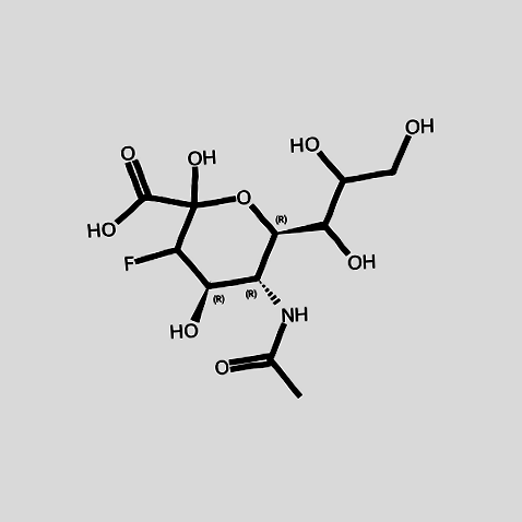 CC(=O)N[C@@H]1[C@@H](O)C(F)C(O)(C(=O)O)O[C@H]1C(O)C(O)CO